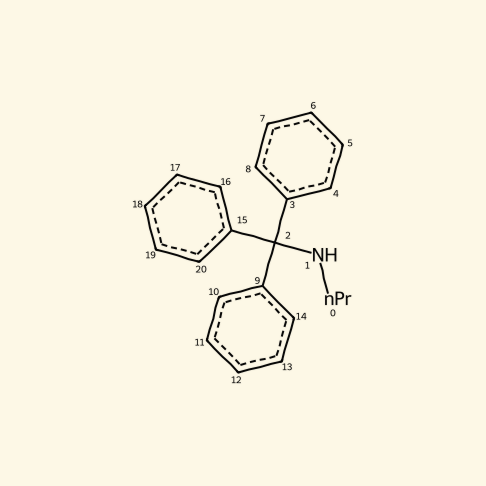 C[CH]CNC(c1ccccc1)(c1ccccc1)c1ccccc1